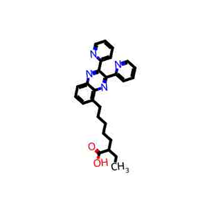 CCC(CCCCCc1cccc2nc(-c3ccccn3)c(-c3ccccn3)nc12)C(=O)O